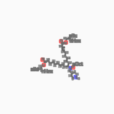 CCCCCCCCON(CC1CCN(C)CC1)C(CCCCCCCCC(=O)OCC(CCCC)CCCCCC)CCCCCCCCC(=O)OCC(CCCC)CCCCCC